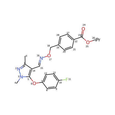 Cc1nn(C)c(Oc2ccc(F)cc2)c1/C=N/OCc1ccc(C(=O)OC(C)C)cc1